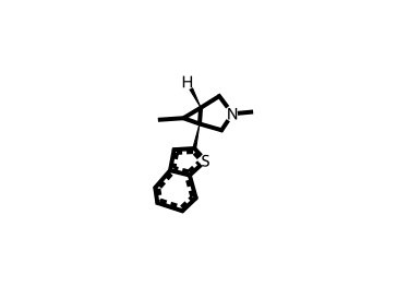 CC1[C@@H]2CN(C)C[C@]12c1cc2ccccc2s1